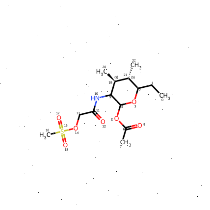 CCC1OC(OC(C)=O)C(NC(=O)COS(C)(=O)=O)[C@@H](C)[C@@H]1C